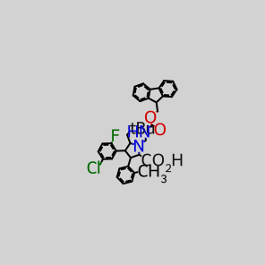 Cc1ccccc1C1C(c2cc(Cl)ccc2F)C(CC(C)(C)C)N(CNC(=O)OCC2c3ccccc3-c3ccccc32)C1C(=O)O